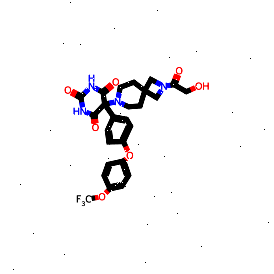 O=C1NC(=O)C(c2ccc(Oc3ccc(OC(F)(F)F)cc3)cc2)(N2CCC3(CC2)CN(C(=O)CO)C3)C(=O)N1